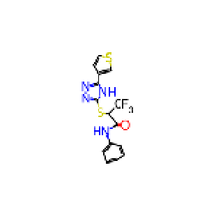 O=C(Nc1ccccc1)C(Sc1nnc(-c2ccsc2)[nH]1)C(F)(F)F